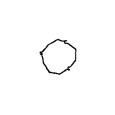 C1CCCCSCCCC1